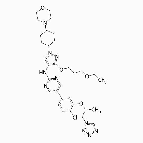 C[C@@H](Cn1cnnn1)Oc1cc(-c2cnc(Nc3cn([C@H]4CC[C@H](N5CCOCC5)CC4)nc3OCCCOCC(F)(F)F)nc2)ccc1Cl